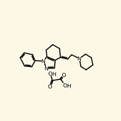 C(/CN1CCCCC1)=C1/CCCc2c1cnn2-c1ccccc1.O=C(O)C(=O)O